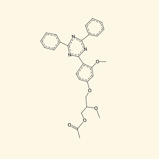 COc1cc(OCC(COC(C)=O)OC)ccc1-c1nc(-c2ccccc2)nc(-c2ccccc2)n1